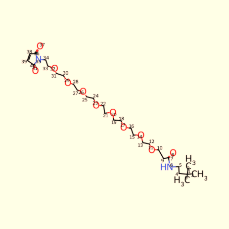 CC(C)(C)CCNC(=O)CCOCCOCCOCCOCCOCCOCCOCCOCCN1C(=O)C=CC1=O